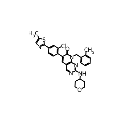 Cc1cnc(-c2ccc(-c3cc4cnc(NC5CCOCC5)nc4n(Cc4ccccc4C)c3=O)c(Cl)c2)s1